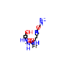 CC(C)[C@H](NC(=O)CCCC1CCN(CCOCCN=[N+]=[N-])CC1)C(=O)N[C@@H](C)C(=O)Nc1ccc(CO)cc1